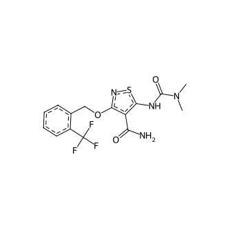 CN(C)C(=O)Nc1snc(OCc2ccccc2C(F)(F)F)c1C(N)=O